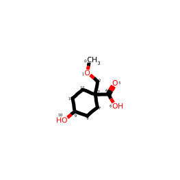 COCC1(C(=O)O)CCC(O)CC1